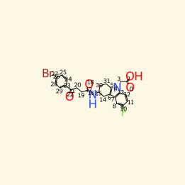 O=C(O)Cn1c2c(c3cc(F)ccc31)C[C@@H](NC(=O)CCC(=O)c1ccc(Br)cc1)CC2